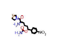 NC(=O)OC(CCCC(N)C(=O)N1CCSC1)c1ccc([N+](=O)[O-])cc1